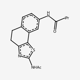 CC(=O)Nc1nc2c(s1)-c1cc(NC(=O)C(C)C)ccc1CC2